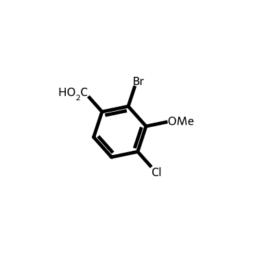 COc1c(Cl)ccc(C(=O)O)c1Br